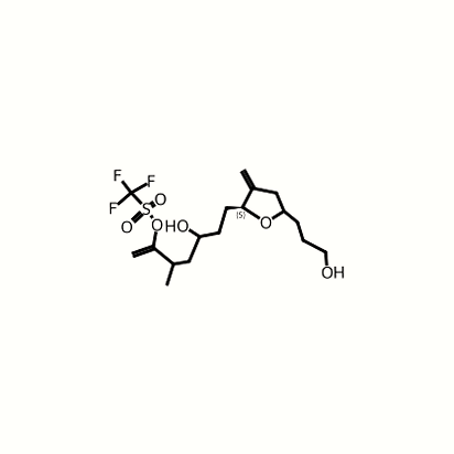 C=C(OS(=O)(=O)C(F)(F)F)C(C)CC(O)CC[C@@H]1OC(CCCO)CC1=C